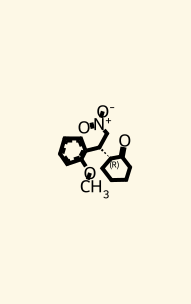 COc1ccccc1C(C[N+](=O)[O-])[C@H]1CCCCC1=O